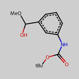 COC(O)c1cccc(NC(=O)OC(C)(C)C)c1